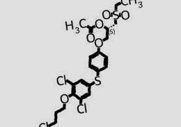 CCS(=O)(=O)C[C@H](COc1ccc(Sc2cc(Cl)c(OCCCCl)c(Cl)c2)cc1)OC(C)=O